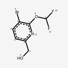 OCc1ccc(Br)c(OC(F)F)n1